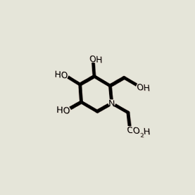 O=C(O)CN1CC(O)C(O)C(O)C1CO